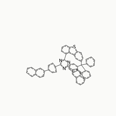 c1ccc(C2(c3ccc4sc5cccc(-c6nc(-c7ccc(-c8ccc9ccccc9c8)cc7)nc(-c7ccc8ccccc8c7)n6)c5c4c3)c3ccccc3-c3ccccc32)cc1